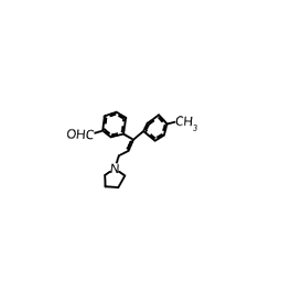 Cc1ccc(/C(=C/CN2CCCC2)c2cccc(C=O)c2)cc1